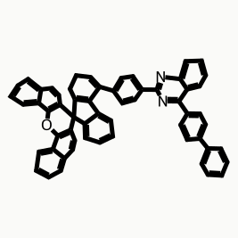 C1=C(c2ccc(-c3nc(-c4ccc(-c5ccccc5)cc4)c4ccccc4n3)cc2)C2=C(CC1)C1(c3ccccc32)c2ccc3ccccc3c2Oc2c1ccc1ccccc21